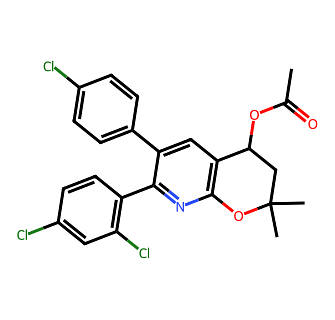 CC(=O)OC1CC(C)(C)Oc2nc(-c3ccc(Cl)cc3Cl)c(-c3ccc(Cl)cc3)cc21